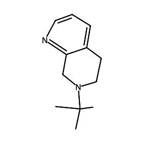 CC(C)(C)N1CCc2cccnc2C1